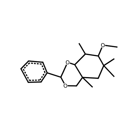 COC1C(C)C2OC(c3ccccc3)OCC2(C)CC1(C)C